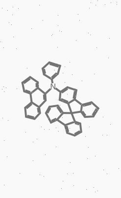 c1ccc(N(c2ccc3c(c2)C2(c4ccccc4-c4ccccc42)c2ccccc2-3)c2cc3ccccc3c3ccccc23)cc1